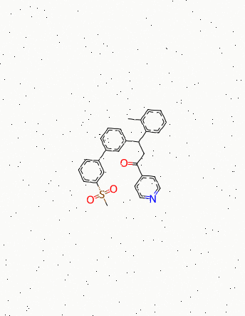 Cc1ccccc1C(CC(=O)c1ccncc1)c1cccc(-c2cccc(S(C)(=O)=O)c2)c1